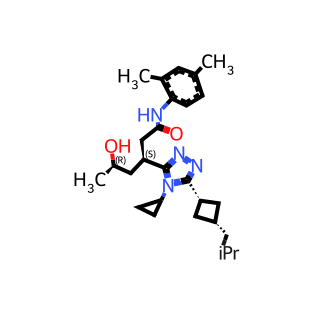 Cc1ccc(NC(=O)C[C@H](C[C@@H](C)O)c2nnc([C@H]3C[C@@H](CC(C)C)C3)n2C2CC2)c(C)c1